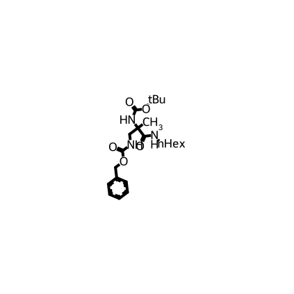 CCCCCCNC(=O)C(C)(CNC(=O)OCc1ccccc1)NC(=O)OC(C)(C)C